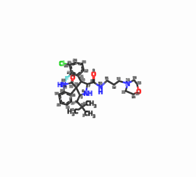 CC(C)(C)CC1NC(C(=O)NCCCN2CCOCC2)C(c2cccc(Cl)c2F)C12C(=O)Nc1ccccc12